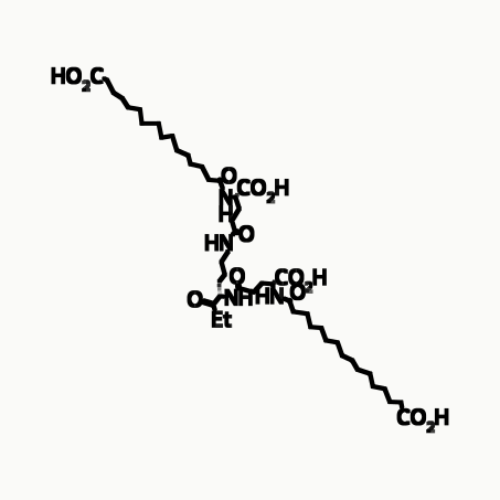 CCC(=O)[C@H](CCCCNC(=O)CC[C@H](NC(=O)CCCCCCCCCCCCCCC(=O)O)C(=O)O)NC(=O)CC[C@H](NC(=O)CCCCCCCCCCCCCCC(=O)O)C(=O)O